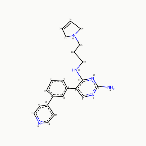 Nc1ncc(-c2cccc(-c3ccncc3)c2)c(NCCCN2CC=CC2)n1